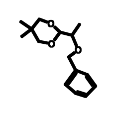 CC(OCc1ccccc1)C1OCC(C)(C)CO1